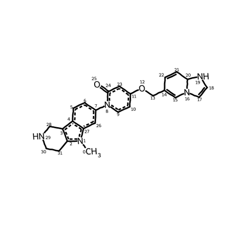 Cn1c2c(c3ccc(-n4ccc(OCC5=CN6C=CNC6C=C5)cc4=O)cc31)CNCC2